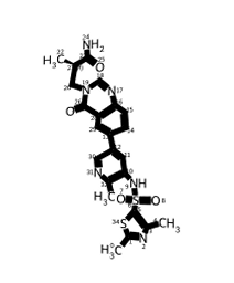 Cc1nc(C)c(S(=O)(=O)Nc2cc(-c3ccc4ncn(C[C@@H](C)C(N)=O)c(=O)c4c3)cnc2C)s1